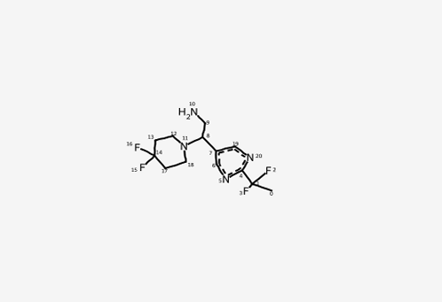 CC(F)(F)c1ncc(C(CN)N2CCC(F)(F)CC2)cn1